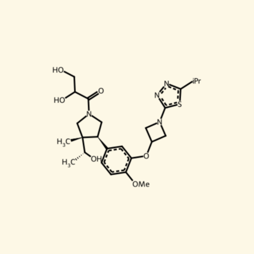 COc1ccc([C@@H]2CN(C(=O)C(O)CO)C[C@@]2(C)[C@@H](C)O)cc1OC1CN(c2nnc(C(C)C)s2)C1